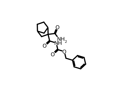 NC(=O)C1(C(=O)NC(=O)OCc2ccccc2)CC2CCC1C2